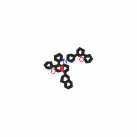 c1ccc(N(c2ccc(-c3ccc4ccccc4c3)cc2)c2ccc(-c3cccc4c3oc3ccccc34)cc2)c(-c2cccc3oc4ccccc4c23)c1